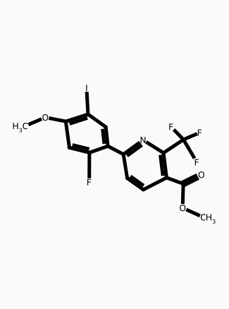 COC(=O)c1ccc(-c2cc(I)c(OC)cc2F)nc1C(F)(F)F